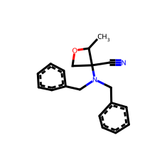 CC1OCC1(C#N)N(Cc1ccccc1)Cc1ccccc1